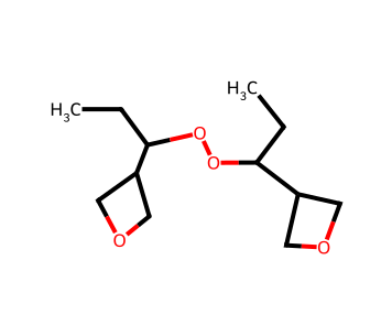 CCC(OOC(CC)C1COC1)C1COC1